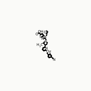 C[C@@H]1CN(Cc2nc3sc(C(=O)O)cc3n2C[C@@H]2CCO2)CCC1c1cccc(OCc2ccc(C#N)cc2F)n1